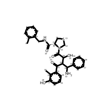 Cc1ccccc1CNC(=O)[C@@H]1CSCN1C(=O)C(O)C(C(=O)c1cccc(O)c1C)C(N)c1ccccc1